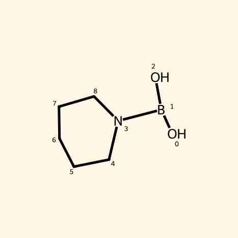 OB(O)N1CCCCC1